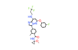 COC1(NC(=O)c2ccc(-c3cnc4c(NCCC(F)(F)F)cc(Oc5cccc(F)c5)nn34)cc2C)CC1